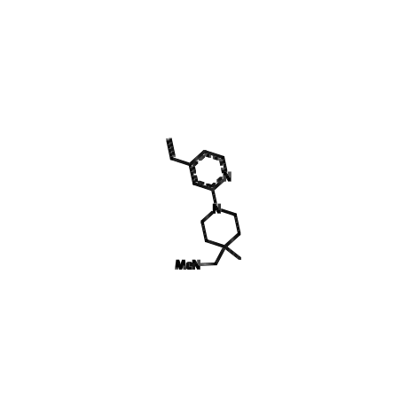 C=Cc1ccnc(N2CCC(C)(CNC)CC2)c1